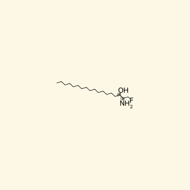 CCCCCCCCCCCCCCC[C@@H](O)[C@H](N)CF